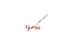 CCCCCCCCCCC[C@H](O)C#C[C@H](O)CC